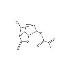 C=C(C)C(=O)OC1C2CC3C1OC(=O)C3C2Cl